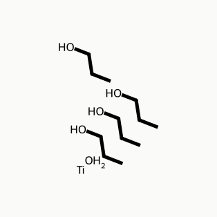 CCCO.CCCO.CCCO.CCCO.O.[Ti]